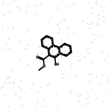 COC(=O)c1c(O)c2ccccc2c2ccccc12